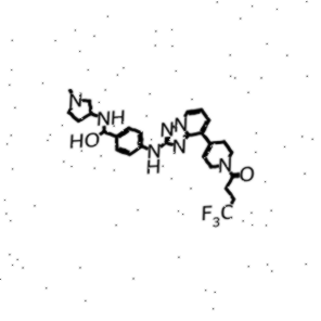 CN1CCC(NC(O)c2ccc(Nc3nc4c(C5=CCN(C(=O)CCC(F)(F)F)CC5)cccn4n3)cc2)C1